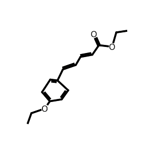 CCOC(=O)/C=C/C=C/c1ccc(OCC)cc1